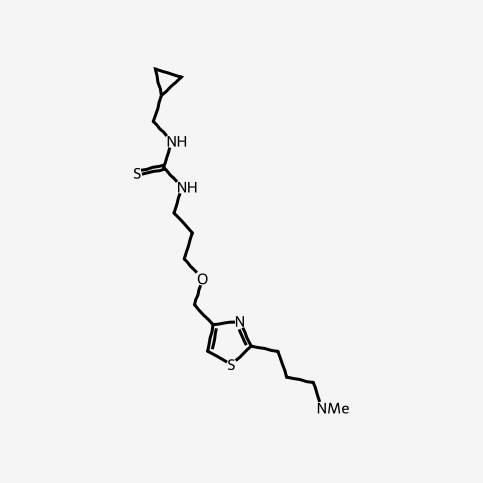 CNCCCc1nc(COCCCNC(=S)NCC2CC2)cs1